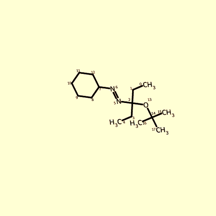 CCC(CC)(/N=N/C1CCCCC1)OC(C)(C)C